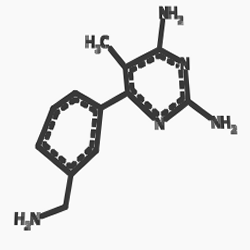 Cc1c(N)nc(N)nc1-c1cccc(CN)c1